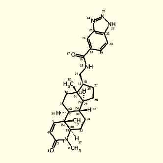 CN1C(=O)C=C[C@]2(C)[C@H]3CC[C@]4(C)[C@@H](CNC(=O)c5ccc6[nH]nnc6c5)CC[C@H]4[C@@H]3CC[C@@H]12